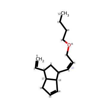 C=CC1CC(/C=C\COCCCC)C2C=CCC12